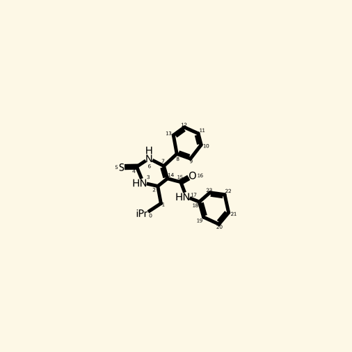 CC(C)CC1NC(=S)NC(c2ccccc2)=C1C(=O)Nc1ccccc1